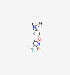 O=C(O)N1CC2(CCC(Oc3ccc(C(F)F)c(Br)n3)CC2)C1